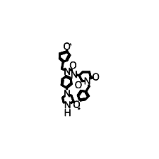 COc1ccc(CN2C(=O)CCC(n3c(=O)n(Cc4ccc(OC)cc4)c4ccc(N5CCNCC5)cc43)C2=O)cc1